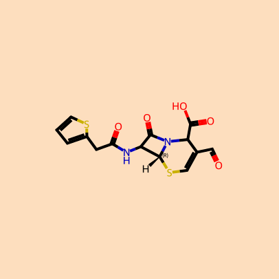 O=CC1=CS[C@@H]2C(NC(=O)Cc3cccs3)C(=O)N2C1C(=O)O